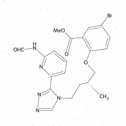 COC(=O)c1cc(Br)ccc1OC[C@H](C)CCn1cnnc1-c1cccc(NC=O)n1